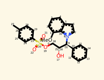 COc1cccc2ccn([C@@H](c3ccccc3)[C@H](O)COS(=O)(=O)c3ccc(C)cc3)c12